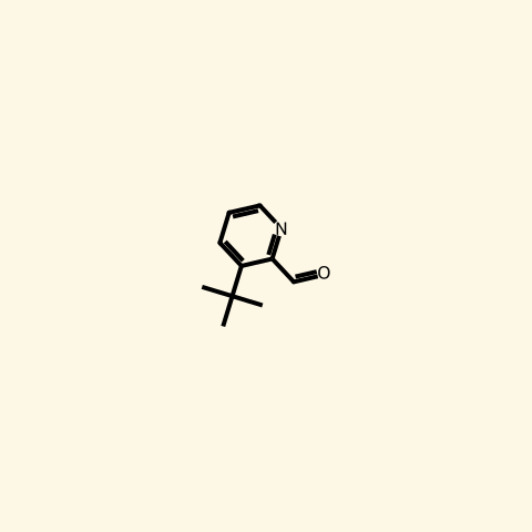 CC(C)(C)c1cccnc1C=O